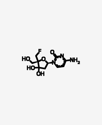 Nc1ccn([C@H]2CC(O)(O)[C@](CO)(CF)O2)c(=O)n1